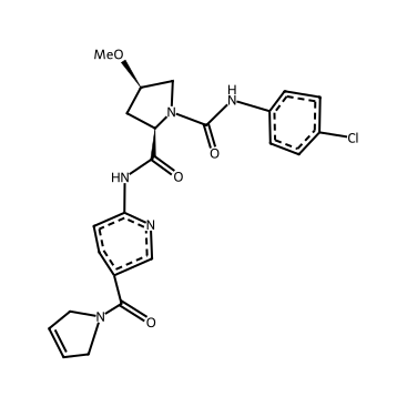 CO[C@@H]1C[C@H](C(=O)Nc2ccc(C(=O)N3CC=CC3)cn2)N(C(=O)Nc2ccc(Cl)cc2)C1